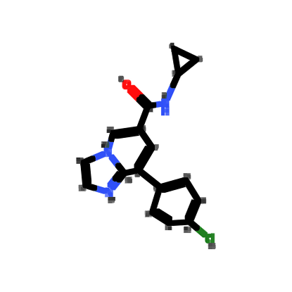 O=C(NC1CC1)c1cc(-c2ccc(Cl)cc2)c2nccn2c1